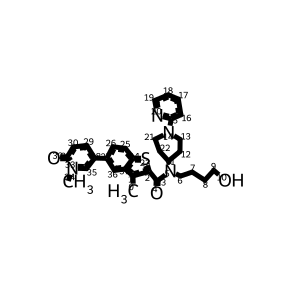 Cc1c(C(=O)N(CCCCO)C2CCN(c3ccccn3)CC2)sc2ccc(-c3ccc(=O)n(C)c3)cc12